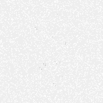 COc1cc2nccc(Oc3ccc(Nc4nn(C)cc4C(=O)N4CCCC5CCCCC54)cc3F)c2cc1OC